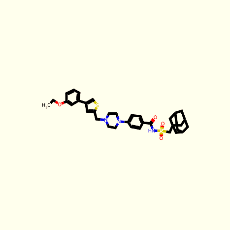 CCOc1cccc(-c2csc(CN3CCN(c4ccc(C(=O)NS(=O)(=O)CC56CC7CC(CC(C7)C5)C6)cc4)CC3)c2)c1